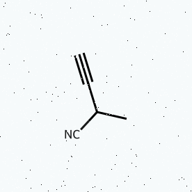 C#CC(C)C#N